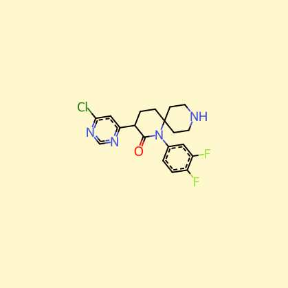 O=C1C(c2cc(Cl)ncn2)CCC2(CCNCC2)N1c1ccc(F)c(F)c1